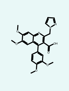 COc1ccc(-c2c(C(=O)O)c(Cn3cccn3)nc3cc(OC)c(OC)cc23)cc1OC